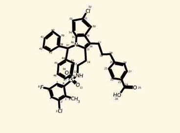 Cc1c(Cl)cc(F)cc1S(=O)(=O)NCCc1c(CCCc2ccc(C(=O)O)cc2)c2cc(Cl)ccc2n1C(c1ccccc1)c1ccccc1